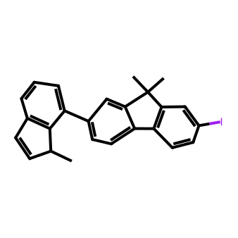 CC1C=Cc2cccc(-c3ccc4c(c3)C(C)(C)c3cc(I)ccc3-4)c21